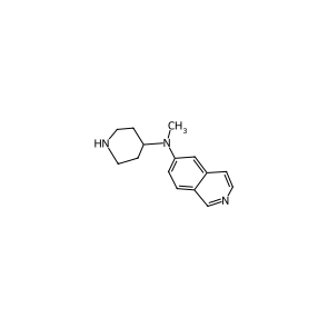 CN(c1ccc2cnccc2c1)C1CCNCC1